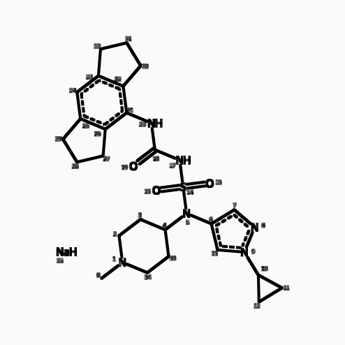 CN1CCC(N(c2cnn(C3CC3)c2)S(=O)(=O)NC(=O)Nc2c3c(cc4c2CCC4)CCC3)CC1.[NaH]